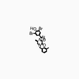 C=CCN(Cc1cccc(C)c1)C(=O)c1nc(-c2cc(Br)c(O)c(Br)c2)no1